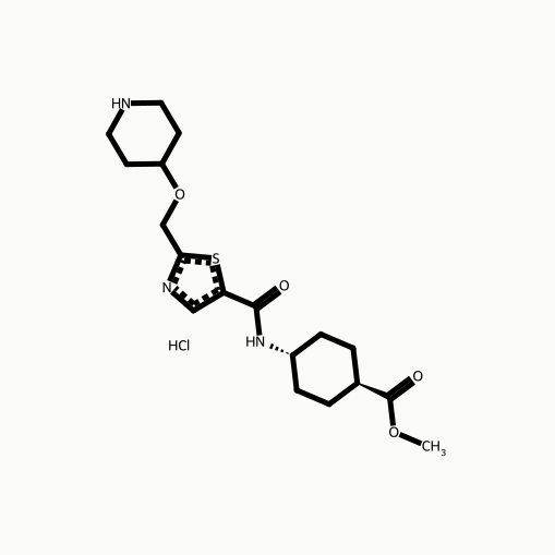 COC(=O)[C@H]1CC[C@H](NC(=O)c2cnc(COC3CCNCC3)s2)CC1.Cl